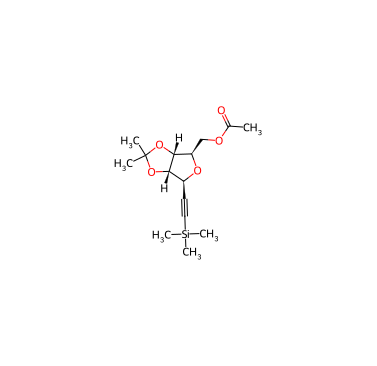 CC(=O)OC[C@H]1O[C@@H](C#C[Si](C)(C)C)[C@@H]2OC(C)(C)O[C@@H]21